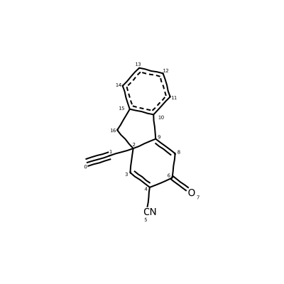 C#CC12C=C(C#N)C(=O)C=C1c1ccccc1C2